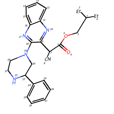 CCC(CC)COC(=O)C(C#N)c1nc2ccccc2nc1N1CCNC(c2ccccc2)C1